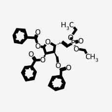 CCOP(=O)(/C=C/[C@H]1OC(OC(=O)c2ccccc2)[C@H](OC(=O)c2ccccc2)[C@@H]1COC(=O)c1ccccc1)OCC